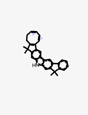 CC1(C)C2=C(/C=C\C=C/CC2)c2cc3c(cc21)[nH]c1cc2c(cc13)-c1ccccc1C2(C)C